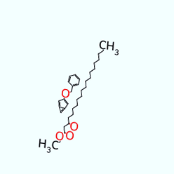 CCCCCCCCCCCCCCCCCC(=O)CC(=O)OCC.c1ccc(COc2cc3cc-3c2)cc1